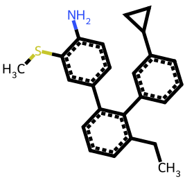 CCc1cccc(-c2ccc(N)c(SC)c2)c1-c1cccc(C2CC2)c1